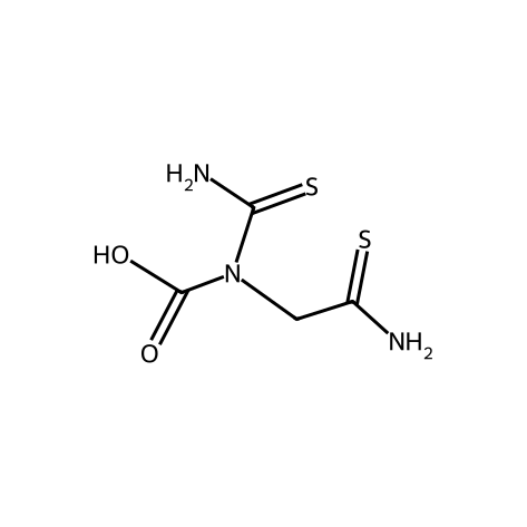 NC(=S)CN(C(=O)O)C(N)=S